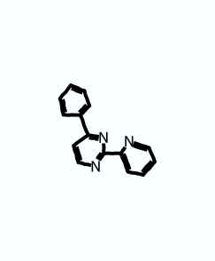 c1ccc(-c2ccnc(-c3ccccn3)n2)cc1